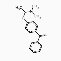 CC(Oc1ccc(C(=O)c2ccccc2)cc1)N(C)C